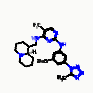 COc1cc(Nc2ncc(C(F)(F)F)c(NC[C@@H]3CCCN4CCCC[C@H]34)n2)cc(-n2nnnc2C)c1